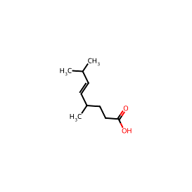 CC(C)C=CC(C)CCC(=O)O